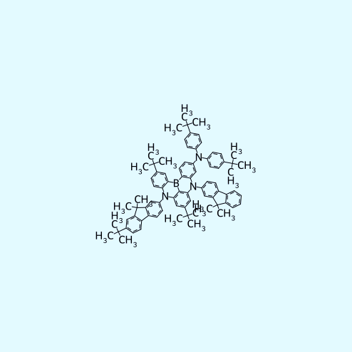 CC(C)(C)c1ccc(N(c2ccc(C(C)(C)C)cc2)c2ccc3c(c2)N(c2ccc4c(c2)C(C)(C)c2ccccc2-4)c2cc(C(C)(C)C)cc4c2B3c2cc(C(C)(C)C)ccc2N4c2ccc3c(c2)C(C)(C)c2cc(C(C)(C)C)ccc2-3)cc1